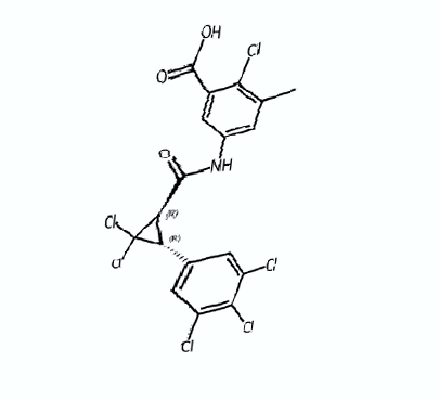 Cc1cc(NC(=O)[C@H]2[C@H](c3cc(Cl)c(Cl)c(Cl)c3)C2(Cl)Cl)cc(C(=O)O)c1Cl